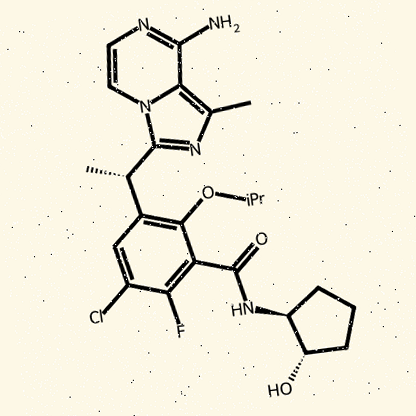 Cc1nc([C@@H](C)c2cc(Cl)c(F)c(C(=O)N[C@H]3CCC[C@@H]3O)c2OC(C)C)n2ccnc(N)c12